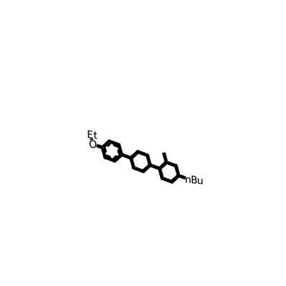 CCCCC1CCC(C2CCC(c3ccc(OCC)cc3)CC2)C(C)C1